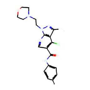 Cc1nn(CCN2CCOCC2)c2ncc(C(=O)Nc3ccc(C(F)(F)F)cc3)c(Cl)c12